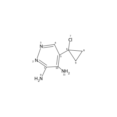 Nc1nncc(C2(Cl)CC2)c1N